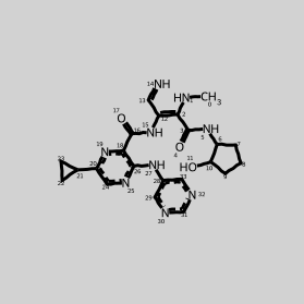 CN/C(C(=O)NC1CCCC1O)=C(\C=N)NC(=O)c1nc(C2CC2)cnc1Nc1cncnc1